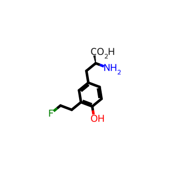 N[C@@H](Cc1ccc(O)c(CCF)c1)C(=O)O